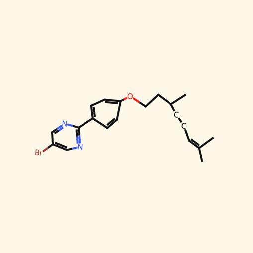 CC(C)=CCCC(C)CCOc1ccc(-c2ncc(Br)cn2)cc1